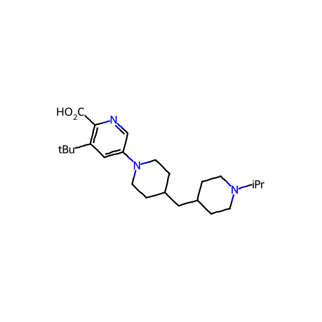 CC(C)N1CCC(CC2CCN(c3cnc(C(=O)O)c(C(C)(C)C)c3)CC2)CC1